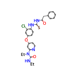 CCNC(=O)N(CC)c1cc(Oc2ccc(NC(=S)NC(=O)Cc3ccccc3)c(Cl)c2)ccn1